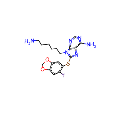 NCCCCCCn1c(Sc2cc3c(cc2I)OCO3)nc2c(N)ncnc21